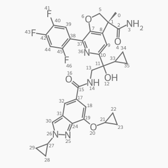 C[C@]1(C(N)=O)COc2c1cc(C(O)(CNC(=O)c1cc(OC3CC3)c3nn(C4CC4)cc3c1)C1CC1)nc2-c1cc(F)c(F)cc1F